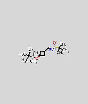 CC(C)(C)[S@@+]([O-])/N=C/C1CC(O[Si](C)(C)C(C)(C)C)C1